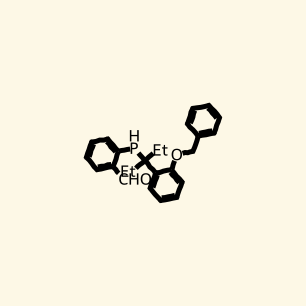 CCC(CC)(Pc1ccccc1C=O)c1ccccc1OCc1ccccc1